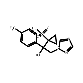 CS(=O)(=O)C1(C(O)(Cn2cncn2)c2ccc(C(F)(F)F)cc2)CC1